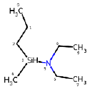 CCC[SiH](C)N(CC)CC